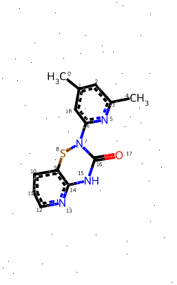 Cc1cc(C)nc(N2Sc3cccnc3NC2=O)c1